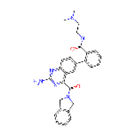 CN(C)CCNC(=O)c1ccccc1-c1ccc2nc(N)nc(C(=O)N3Cc4ccccc4C3)c2c1